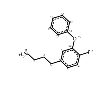 Fc1ccc(CCC[SiH3])cc1Oc1ccccc1